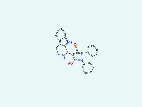 O=c1c(C2NCCc3c2[nH]c2ccccc32)c(O)n(-c2ccccc2)n1-c1ccccc1